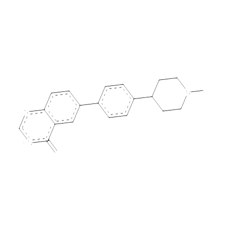 CN1CCC(c2ccc(-c3ccc4nc[nH]c(=O)c4c3)cc2)CC1.Cl